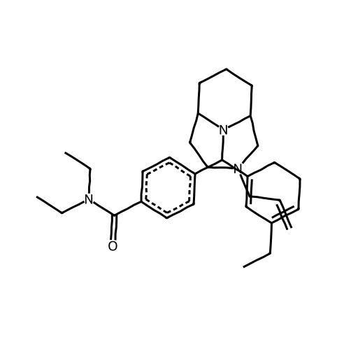 C=CCN1CCC2CCCC(C1)N2C(C1=CC(CC)=CCC1)c1ccc(C(=O)N(CC)CC)cc1